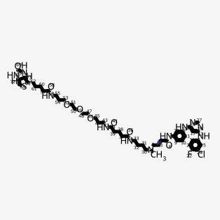 CN(C/C=C/C(=O)Nc1cccc(Nc2cc(Nc3ccc(F)c(Cl)c3)ncn2)c1)CCCCNC(=O)CCCC(=O)NCCCOCCOCCOCCCNC(=O)CCCC[C@@H]1SC[C@@H]2NC(=O)N[C@@H]21